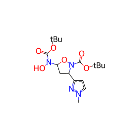 Cn1ccc(C2CC(N(O)C(=O)OC(C)(C)C)ON2C(=O)OC(C)(C)C)n1